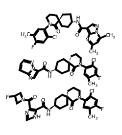 Cc1cc(C)n2ncc(C(=O)N[C@H]3CC[C@@]4(CCCN(c5cc(C)c(F)cc5Cl)C4=O)CC3)c2n1.Cc1cc(N2CCC[C@]3(CC[C@@H](NC(=O)c4cnc5cccnn45)CC3)C2=O)c(Cl)cc1F.Cc1cc(N2CCC[C@]3(CC[C@H](NC(=O)c4[nH]cnc4C(=O)N4CC(F)C4)CC3)C2=O)c(Cl)cc1F